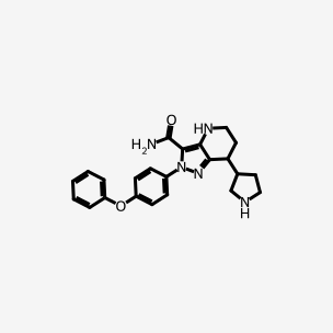 NC(=O)c1c2c(nn1-c1ccc(Oc3ccccc3)cc1)C(C1CCNC1)CCN2